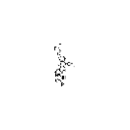 CC(NC(=O)c1ccnc(NC(=O)C2CC2)n1)c1ccc(OCC(F)F)nc1